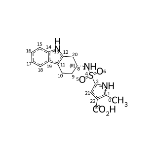 Cc1[nH]c(S(=O)(=O)N[C@@H]2CCc3c([nH]c4ccccc34)C2)cc1C(=O)O